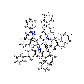 c1ccc(-c2ccc(N3c4cc5c(ccc6ccccc65)cc4B4c5cc6ccc7ccccc7c6cc5N(c5ccc(-c6ccccc6)cc5)c5cc(-c6nc(-c7ccccc7)nc7ccccc67)cc3c54)cc2)cc1